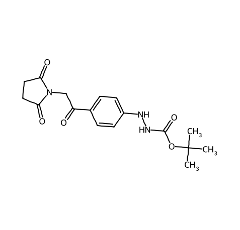 CC(C)(C)OC(=O)NNc1ccc(C(=O)CN2C(=O)CCC2=O)cc1